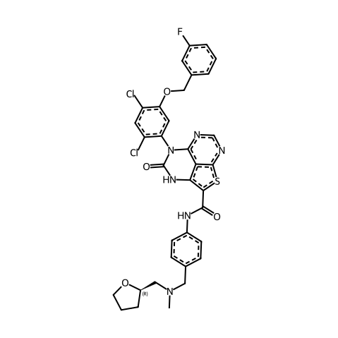 CN(Cc1ccc(NC(=O)c2sc3ncnc4c3c2NC(=O)N4c2cc(OCc3cccc(F)c3)c(Cl)cc2Cl)cc1)C[C@H]1CCCO1